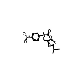 CC(C)c1nc(C[N+](C)(C(=O)[O-])c2ccc([N+](=O)[O-])cc2)cs1